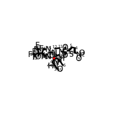 O=[N+]([O-])c1ccc(S(=O)(=O)N2CCN(c3ncc(C(O)(C(F)(F)F)C(F)(F)F)cn3)[C@@H](CN3[C@@H]4COC[C@H]3CC(O)C4)C2)s1